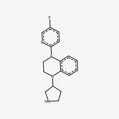 Fc1ccc(N2CCN(C3CCNC3)c3ccccc32)nc1